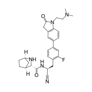 CN(C)CCN1C(=O)Cc2cc(-c3ccc(C[C@@H](C#N)NC(=O)[C@H]4N[C@@H]5CC[C@H]4C5)c(F)c3)ccc21